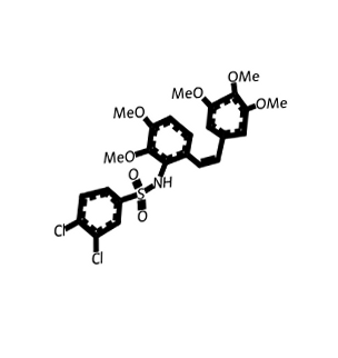 COc1cc(/C=C\c2ccc(OC)c(OC)c2NS(=O)(=O)c2ccc(Cl)c(Cl)c2)cc(OC)c1OC